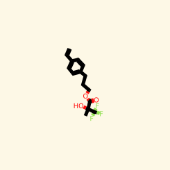 C=Cc1ccc(CCCOC(=O)C(C)(O)C(F)(F)F)cc1